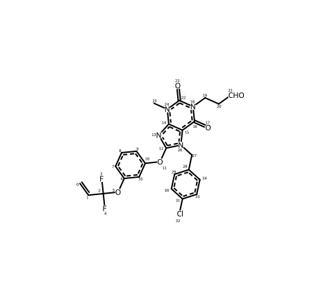 C=CC(F)(F)Oc1cccc(Oc2nc3c(c(=O)n(CCC=O)c(=O)n3C)n2Cc2ccc(Cl)cc2)c1